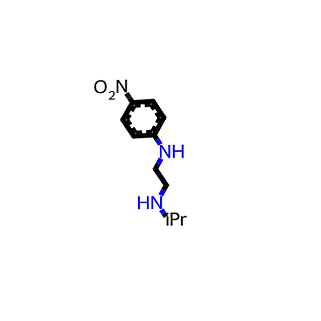 CC(C)NCCNc1ccc([N+](=O)[O-])cc1